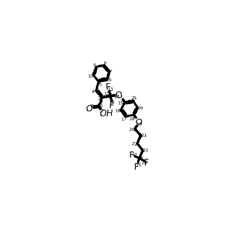 O=C(O)/C(=C/c1ccccc1)C(F)(F)Oc1ccc(OCCCCC(F)(F)F)cc1